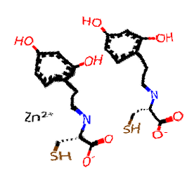 O=C([O-])[C@H](CS)N=CCc1ccc(O)cc1O.O=C([O-])[C@H](CS)N=CCc1ccc(O)cc1O.[Zn+2]